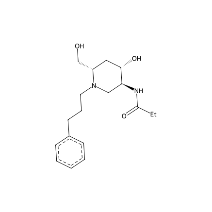 CCC(=O)N[C@H]1CN(CCCc2ccccc2)[C@H](CO)C[C@@H]1O